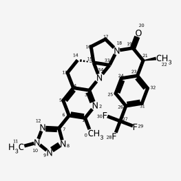 Cc1nc2c(cc1-c1nnn(C)n1)CC[C@]13CCN(C(=O)[C@@H](C)c4ccc(C(F)(F)F)cc4)C1N23